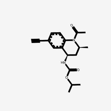 C#Cc1ccc2c(c1)[C@H](NC(=O)OC(C)C)C[C@H](C)N2C(C)=O